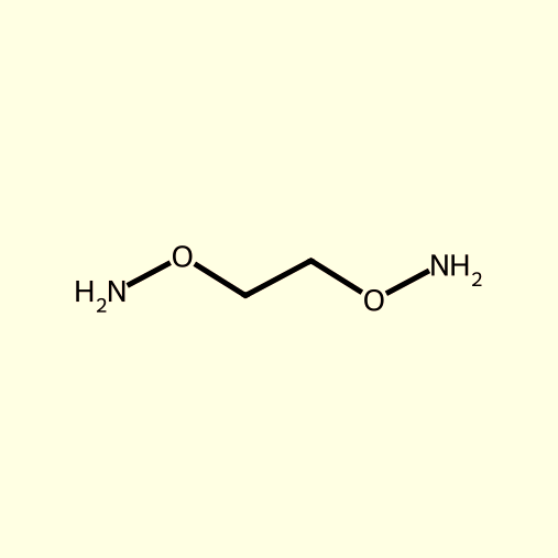 NOCCON